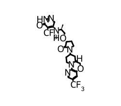 C[C@@H](CO[C@H]1CCN(C2CCN3c4ncc(C(F)(F)F)cc4OC[C@H]3C2)C1=O)Nc1cn[nH]c(=O)c1C(F)(F)F